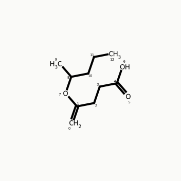 C=C(CCC(=O)O)OC(C)CCC